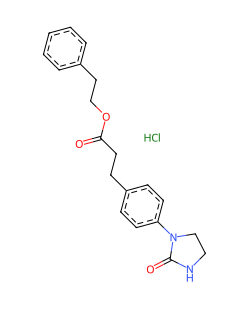 Cl.O=C(CCc1ccc(N2CCNC2=O)cc1)OCCc1ccccc1